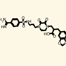 N=C(N)c1ccc(S(=O)(=O)NCCCN2CCN(CC(Cc3ccc4c(c3)OCO4)C(=O)O)C(=O)C2=O)cc1